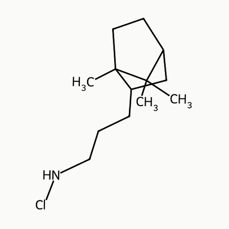 CC1(C)C2CCC1(C)C(CCCNCl)C2